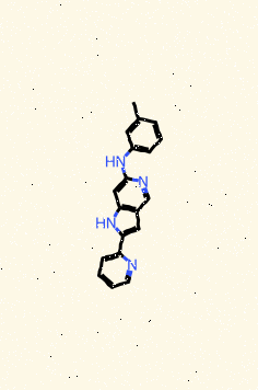 Cc1cccc(Nc2cc3[nH]c(-c4ccccn4)cc3cn2)c1